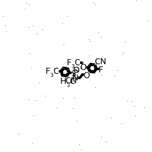 CN(CCOc1cc(F)c(C#N)cc1OCC(F)(F)F)[S+]([O-])c1ccc(C(F)(F)F)cc1C#N